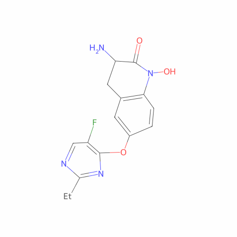 CCc1ncc(F)c(Oc2ccc3c(c2)CC(N)C(=O)N3O)n1